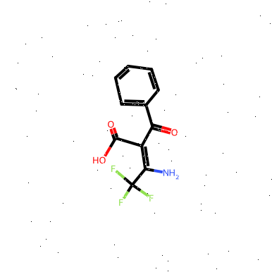 NC(=C(C(=O)O)C(=O)c1ccccc1)C(F)(F)F